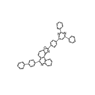 c1ccc(-c2ccc(-c3nc4ccccc4c4c3ccc3oc(-c5ccc(-c6cc(-c7ccccc7)nc(-c7ccccc7)n6)cc5)nc34)cc2)cc1